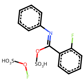 O=S(=O)(O)OC(=Nc1ccccc1)c1ccccc1F.O=S(=O)(O)OF